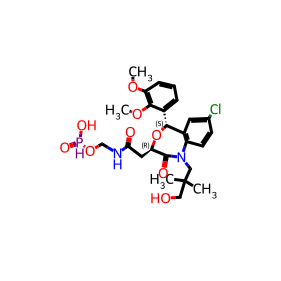 COc1cccc([C@H]2O[C@H](CC(=O)NCO[PH](=O)O)C(=O)N(CC(C)(C)CO)c3ccc(Cl)cc32)c1OC